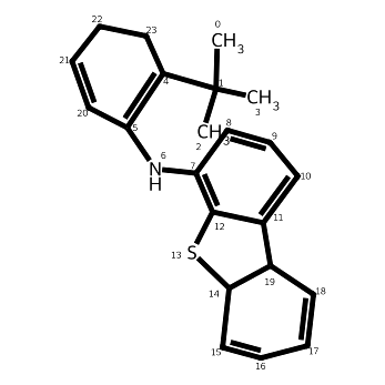 CC(C)(C)C1=C(Nc2cccc3c2SC2C=CC=CC32)C=CCC1